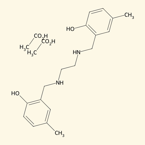 CC(=O)O.CC(=O)O.Cc1ccc(O)c(CNCCNCc2cc(C)ccc2O)c1